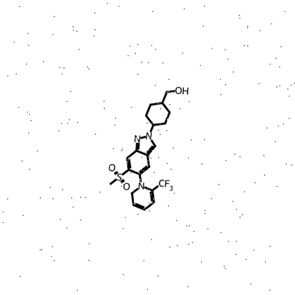 CS(=O)(=O)c1cc2nn(C3CCC(CO)CC3)cc2cc1N1CC=CC=C1C(F)(F)F